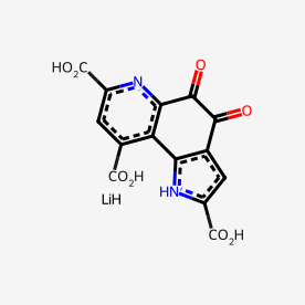 O=C(O)c1cc(C(=O)O)c2c(n1)C(=O)C(=O)c1cc(C(=O)O)[nH]c1-2.[LiH]